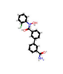 NC(=O)c1cccc(-c2cccc(C(=O)N(O)c3ccccc3F)c2)c1